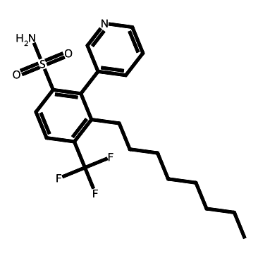 CCCCCCCCc1c(C(F)(F)F)ccc(S(N)(=O)=O)c1-c1cccnc1